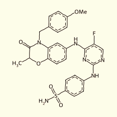 COc1ccc(CN2C(=O)C(C)Oc3ccc(Nc4nc(Nc5ccc(S(N)(=O)=O)cc5)ncc4F)cc32)cc1